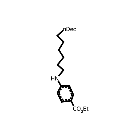 CCCCCCCCCCCCCCCCNc1ccc(C(=O)OCC)cc1